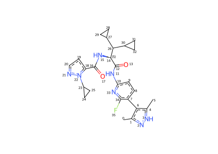 Cc1n[nH]c(C)c1-c1ccc(NC(=O)[C@@H](NC(=O)c2ccnn2C2CC2)C(C2CC2)C2CC2)nc1F